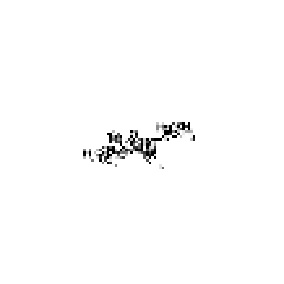 CC(C)(C)OC(=O)NCCCON=C(C(=O)NC1C(=O)N2CC(CSc3nncs3)(C(=O)OCOC(=O)C(C)(C)C)CS[C@H]12)c1nsc(N)n1